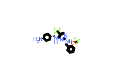 N[C@H]1CC[C@H](CNc2nc(NCc3ccccc3OC(F)(F)F)ncc2C(F)(F)F)CC1